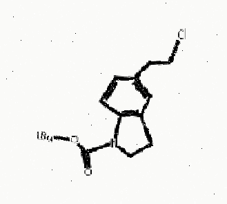 CC(C)(C)OC(=O)N1CCc2cc(CCCl)ccc21